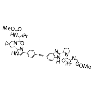 COO/C=N\[C@H](C(=O)N1CCC[C@H]1c1nc2cc(C#Cc3ccc(-c4c[nH]c([C@@H]5CC6(CC6)CN5C(=O)[C@@H](NC(=O)OC)C(C)C)n4)cc3)ccc2[nH]1)C(C)C